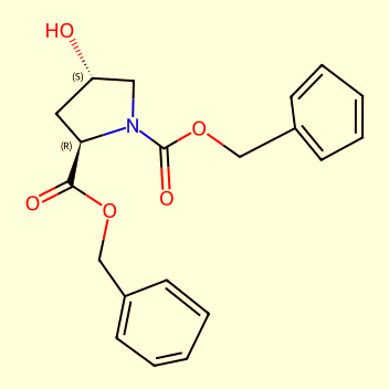 O=C(OCc1ccccc1)[C@H]1C[C@H](O)CN1C(=O)OCc1ccccc1